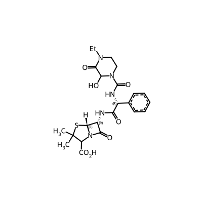 CCN1CCN(C(=O)N[C@@H](C(=O)N[C@@H]2C(=O)N3C(C(=O)O)C(C)(C)S[C@H]23)c2ccccc2)C(O)C1=O